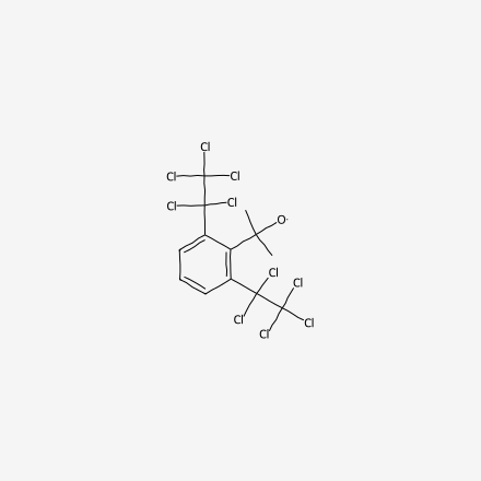 CC(C)([O])c1c(C(Cl)(Cl)C(Cl)(Cl)Cl)cccc1C(Cl)(Cl)C(Cl)(Cl)Cl